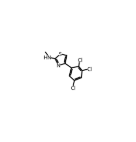 CNc1nc(-c2cc(Cl)cc(Cl)c2Cl)cs1